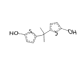 CC(C)(c1ccc(O)s1)c1ccc(O)s1